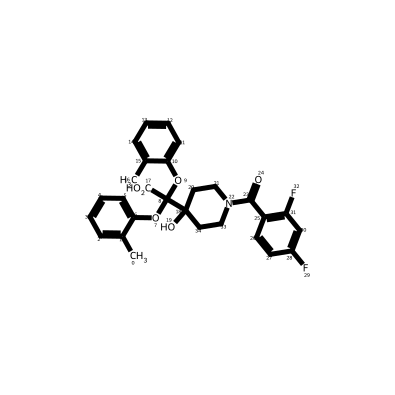 Cc1ccccc1OC(Oc1ccccc1C)(C(=O)O)C1(O)CCN(C(=O)c2ccc(F)cc2F)CC1